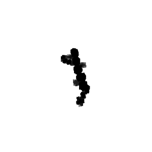 c1ccc2c(c1)[nH]c1c(OCCn3cncn3)c3c(cc12)[nH]c1cc(-c2ccc4c(c2)[nH]c2cc5c(ccn5CCn5cncn5)cc24)ccc13